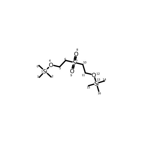 C[Si](C)(C)OCCS(=O)(=O)CCO[Si](C)(C)C